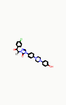 CCC(C(=O)c1ccc(Cl)cc1)n1ncn(-c2ccc(N3CCN(c4ccc(O)cc4)CC3)cc2)c1=O